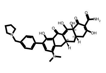 CN(C)c1cc(-c2ccc(CN3CCCC3)cc2)c(O)c2c1C[C@H]1C[C@H]3CC(O)=C(C(N)=O)C(=O)[C@@]3(O)C(O)=C1C2=O